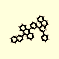 c1ccc(-c2cc(-c3cccc(-c4c5ccccc5c(-c5ccc6ccccc6c5)c5ccccc45)c3)c3c(ccc4ccccc43)n2)cc1